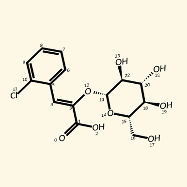 O=C(O)/C(=C/c1ccccc1Cl)O[C@H]1O[C@@H](CO)[C@H](O)[C@@H](O)[C@@H]1O